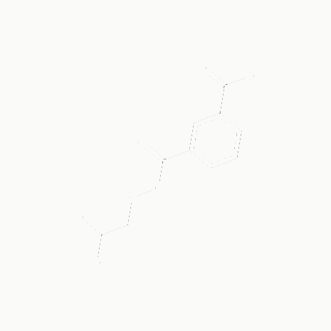 O=C(O)c1cccc(C(=O)OOCC(O)O)c1